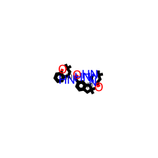 CC1(C)CC(=O)N([C@H]2c3cc(C(=O)N[C@H]4CC(C)(C)Oc5ccccc54)ccc3CC2(C)C)C(=N)N1